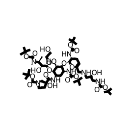 C[C@@H]([C@@H](O)[C@H](OCCO)O[C@@H]1[C@@H](O)[C@H](O[C@H]2OC(CNCC(O)CNC(=O)OC(C)(C)C)=CC[C@H]2NC(=O)OC(C)(C)C)[C@@H](NC(=O)OC(C)(C)C)C[C@H]1NC(=O)C1(O)CCN(C(=O)OC(C)(C)C)C1)N(C)C(=O)OC(C)(C)C